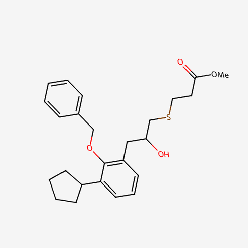 COC(=O)CCSCC(O)Cc1cccc(C2CCCC2)c1OCc1ccccc1